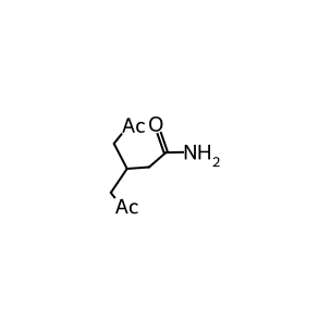 CC(=O)CC(CC(C)=O)CC(N)=O